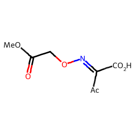 COC(=O)CO/N=C(\C(C)=O)C(=O)O